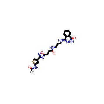 CCC(=O)Nc1cc(-c2noc(CCC(=O)NCCCNc3n[nH]c(=O)c4ccccc34)n2)cs1